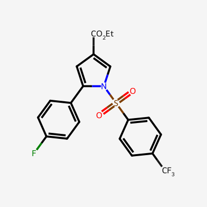 CCOC(=O)c1cc(-c2ccc(F)cc2)n(S(=O)(=O)c2ccc(C(F)(F)F)cc2)c1